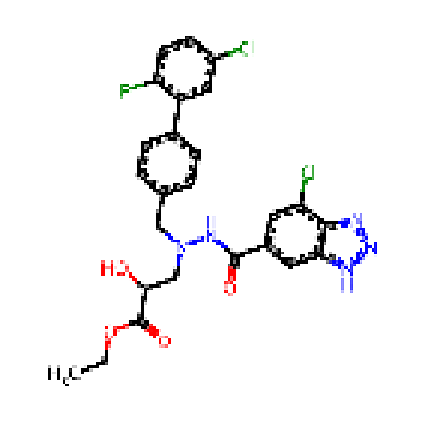 CCOC(=O)C(O)CN(Cc1ccc(-c2cc(Cl)ccc2F)cc1)NC(=O)c1cc(Cl)c2nn[nH]c2c1